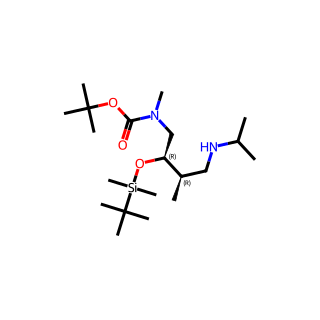 CC(C)NC[C@@H](C)[C@H](CN(C)C(=O)OC(C)(C)C)O[Si](C)(C)C(C)(C)C